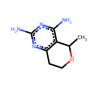 CC1OCCc2nc(N)nc(N)c21